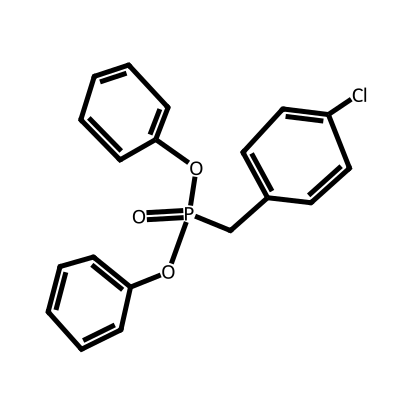 O=P(Cc1ccc(Cl)cc1)(Oc1ccccc1)Oc1ccccc1